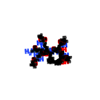 CC(C)(C)OC(=O)NCCC[C@@H](NC(=O)[C@@H]1Cc2cccc(c2)-c2ccc(O)c(c2)C[C@H](NC(=O)OC(C)(C)C)C(=O)N[C@@H](C[C@@H](O)CNC(=O)OC(C)(C)C)C(=O)N1)C(=O)N[C@H](CCC(N)=O)C(=O)NCCNC(=O)OC(C)(C)C